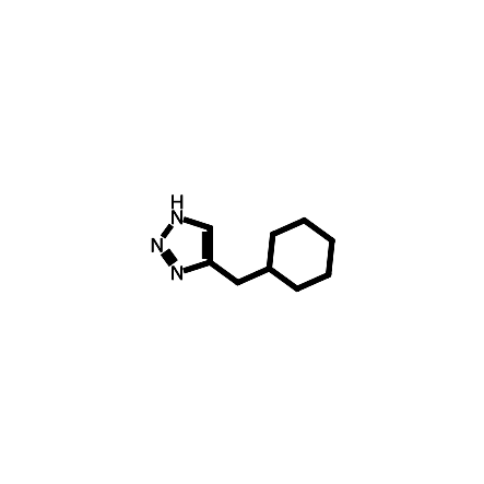 c1[nH]nnc1CC1CCCCC1